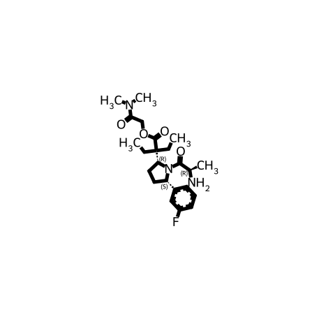 CCC(CC)(C(=O)OCC(=O)N(C)C)[C@H]1CC[C@@H](c2cccc(F)c2)N1C(=O)[C@@H](C)N